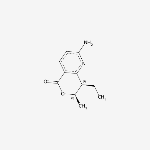 CC[C@@H]1c2nc(N)ccc2C(=O)O[C@@H]1C